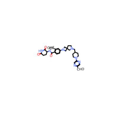 CN(C(=O)c1ccc(N2CC3(CCN(CC4CCN(c5cnc(C=O)cn5)CC4)C3)C2)cc1C=O)C1CCC(=O)NC1=O